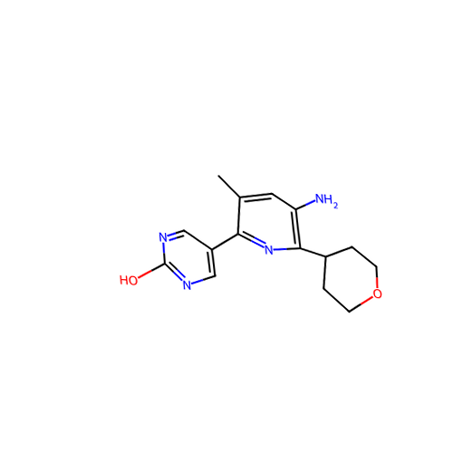 Cc1cc(N)c(C2CCOCC2)nc1-c1cnc(O)nc1